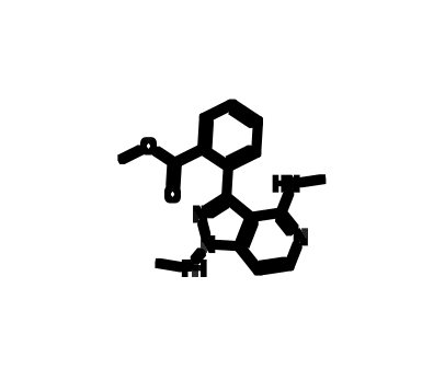 CNc1nccc2c1c(-c1ccccc1C(=O)OC)nn2PC